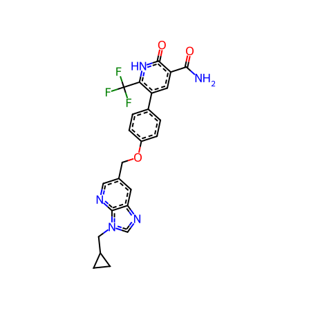 NC(=O)c1cc(-c2ccc(OCc3cnc4c(c3)ncn4CC3CC3)cc2)c(C(F)(F)F)[nH]c1=O